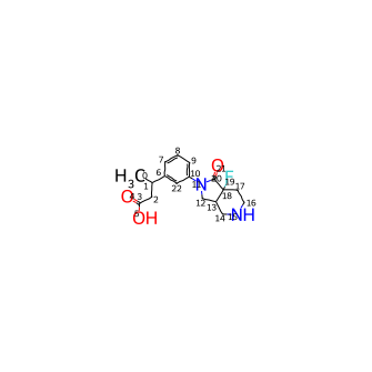 CC(CC(=O)O)c1cccc(N2CC3CNCCC3(F)C2=O)c1